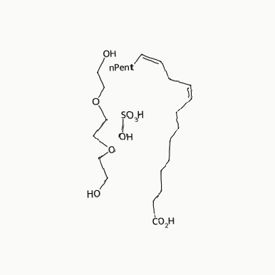 CCCCC/C=C\C/C=C\CCCCCCCC(=O)O.O=S(=O)(O)O.OCCOCCOCCO